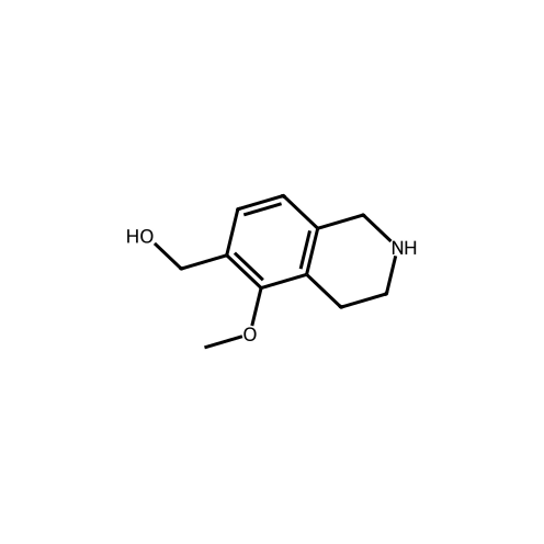 COc1c(CO)ccc2c1CCNC2